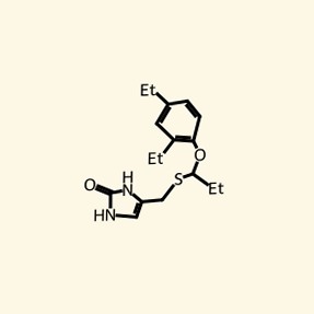 CCc1ccc(OC(CC)SCc2c[nH]c(=O)[nH]2)c(CC)c1